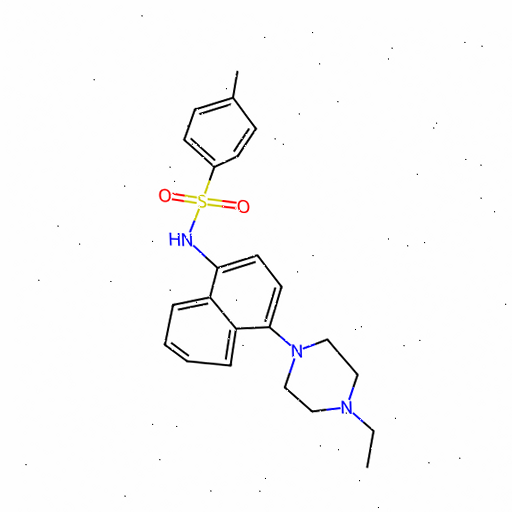 CCN1CCN(c2ccc(NS(=O)(=O)c3ccc(C)cc3)c3ccccc23)CC1